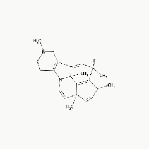 CC1C=CC2(C)C=CN3C4=C(CN(C)CC4)C4=CC(C)(F)C1=C2C43C